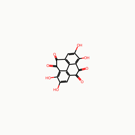 O=c1c(=O)c2c(O)c(O)cc3c2-c2c1cc(O)c(O)c2c(=O)c3=O